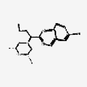 CCCC(c1ncc2cc(Br)ccc2n1)N1C[C@@H](C)N[C@@H](C)C1